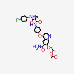 CC(=O)OC(C)COc1cc2nccc(Oc3ccc(NC(=O)C4(C(=O)Nc5ccc(F)cc5)CC4)cc3)c2cc1C(N)=O